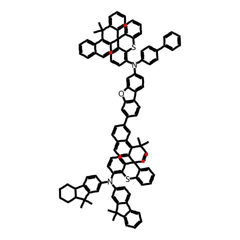 CC1(C)c2ccccc2-c2ccc(N(c3ccc4c(c3)C(C)(C)C3CCCCC43)c3cccc4c3Sc3ccccc3C43c4ccccc4C(C)(C)c4c3ccc3ccc(-c5ccc6c(c5)oc5cc(N(c7ccc(-c8ccccc8)cc7)c7cccc8c7Sc7ccccc7C87c8ccccc8C(C)(C)c8c7ccc7ccccc87)ccc56)cc43)cc21